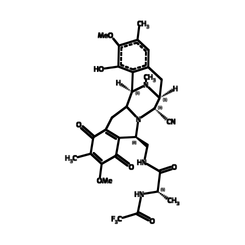 COC1=C(C)C(=O)C2=C(C1=O)[C@H](CNC(=O)[C@H](C)NC(=O)C(F)(F)F)N1C(C2)[C@H]2c3c(cc(C)c(OC)c3O)C[C@@H]([C@@H]1C#N)N2C